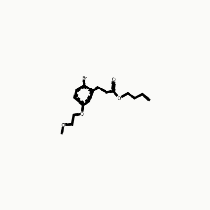 CCCCOC(=O)CCc1cc(OCCOC)ccc1Br